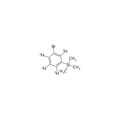 [2H]c1c([2H])c(Br)c([2H])c([Si](C)(C)C)c1[2H]